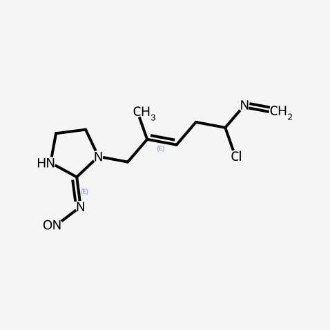 C=NC(Cl)C/C=C(\C)CN1CCN/C1=N\N=O